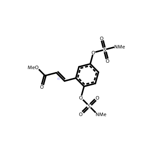 CNS(=O)(=O)Oc1ccc(OS(=O)(=O)NC)c(/C=C/C(=O)OC)c1